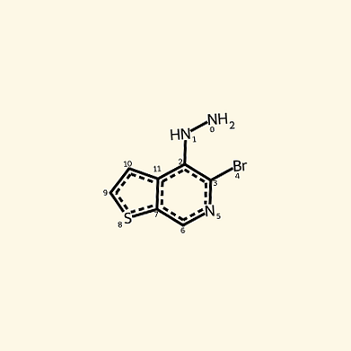 NNc1c(Br)ncc2sccc12